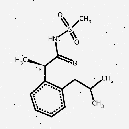 CC(C)Cc1ccccc1[C@@H](C)C(=O)NS(C)(=O)=O